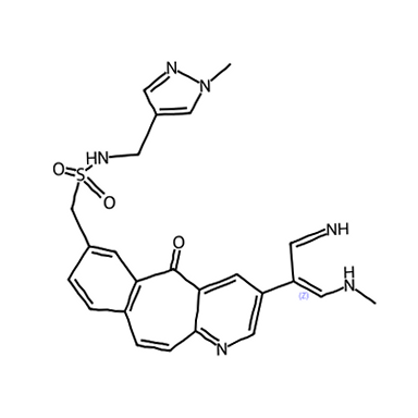 CN/C=C(\C=N)c1cnc2ccc3ccc(CS(=O)(=O)NCc4cnn(C)c4)cc3c(=O)c2c1